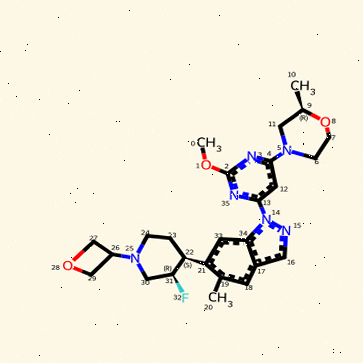 COc1nc(N2CCO[C@H](C)C2)cc(-n2ncc3cc(C)c([C@@H]4CCN(C5COC5)C[C@@H]4F)cc32)n1